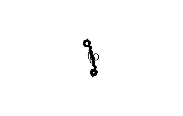 O=C([N]CCCC1CCCCC1)OCCCc1ccccc1